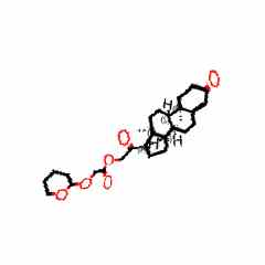 C[C@]12CC[C@H]3[C@@H](CCC4=CC(=O)CC[C@@]43C)[C@@H]1CC[C@H]2C(=O)COC(=O)COC1CCCCO1